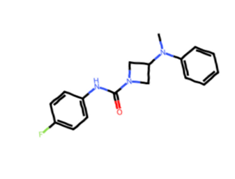 CN(c1ccccc1)C1CN(C(=O)Nc2ccc(F)cc2)C1